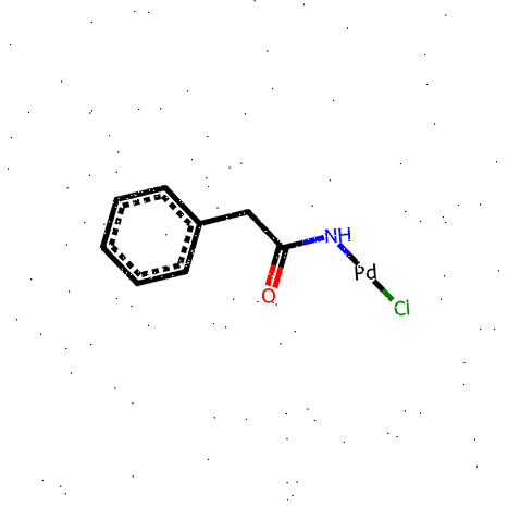 O=C(Cc1ccccc1)[NH][Pd][Cl]